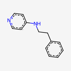 [c]1cnccc1NCCc1ccccc1